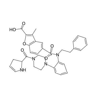 Cc1c(C(=O)O)oc2ccc(S(=O)(=O)N(CCc3ccccc3)c3ccccc3N3CCN(C(=O)C4CC=CN4)CC3)cc12